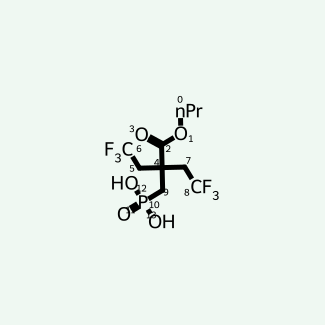 CCCOC(=O)C(CC(F)(F)F)(CC(F)(F)F)CP(=O)(O)O